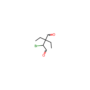 CCC([C]=O)(CC)C(Br)C=O